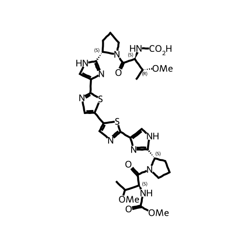 COC(=O)N[C@H](C(=O)N1CCC[C@H]1c1nc(-c2ncc(-c3cnc(-c4c[nH]c([C@@H]5CCCN5C(=O)[C@@H](NC(=O)O)[C@@H](C)OC)n4)s3)s2)c[nH]1)C(C)OC